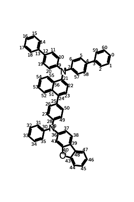 c1ccc(-c2ccc(N(c3ccc(-c4ccccc4)cc3)c3ccc(-c4ccc(N(c5ccccc5)c5ccc6c(c5)oc5ccccc56)cc4)c4ccccc34)cc2)cc1